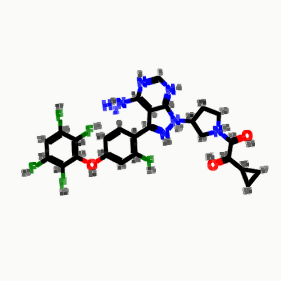 Nc1ncnc2c1c(-c1ccc(Oc3c(F)c(F)cc(F)c3F)cc1F)nn2C1CCN(C(=O)C(=O)C2CC2)C1